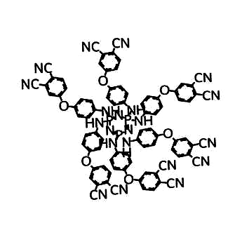 N#Cc1ccc(Oc2ccc(NP3(Nc4ccc(Oc5ccc(C#N)c(C#N)c5)cc4)=NP(Nc4ccc(Oc5ccc(C#N)c(C#N)c5)cc4)(Nc4ccc(Oc5ccc(C#N)c(C#N)c5)cc4)=NP(Nc4ccc(Oc5ccc(C#N)c(C#N)c5)cc4)(Nc4ccc(Oc5ccc(C#N)c(C#N)c5)cc4)=N3)cc2)cc1C#N